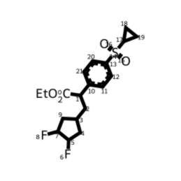 CCOC(=O)C(CC1CC(F)C(F)C1)c1ccc(S(=O)(=O)C2CC2)cc1